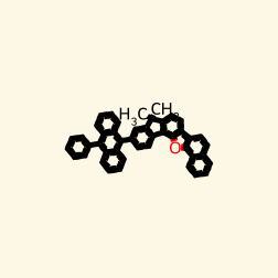 CC1(C)c2cc(-c3c4ccccc4c(-c4ccccc4)c4ccccc34)ccc2-c2c1ccc1c2oc2c3ccccc3ccc12